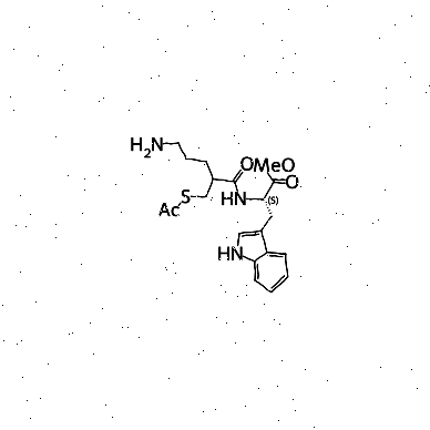 COC(=O)[C@H](Cc1c[nH]c2ccccc12)NC(=O)C(CCCN)CSC(C)=O